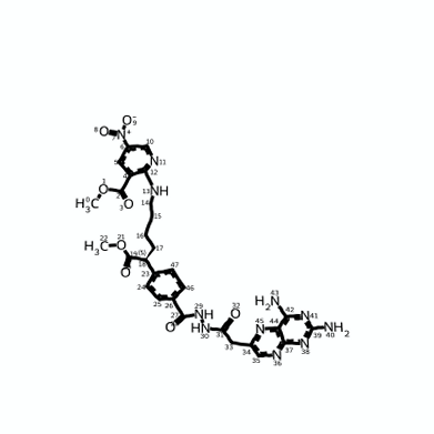 COC(=O)c1cc([N+](=O)[O-])cnc1NCCCC[C@H](C(=O)OC)c1ccc(C(=O)NNC(=O)Cc2cnc3nc(N)nc(N)c3n2)cc1